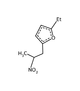 CCc1ccc(CC(C)[N+](=O)[O-])o1